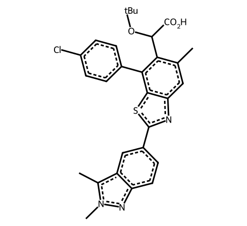 Cc1cc2nc(-c3ccc4nn(C)c(C)c4c3)sc2c(-c2ccc(Cl)cc2)c1C(OC(C)(C)C)C(=O)O